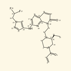 C=CC(=O)N1CCN(CCn2c(=O)ccc3cnc(Nc4cnn(CC(F)F)c4)nc32)[C@@H](CC)C1